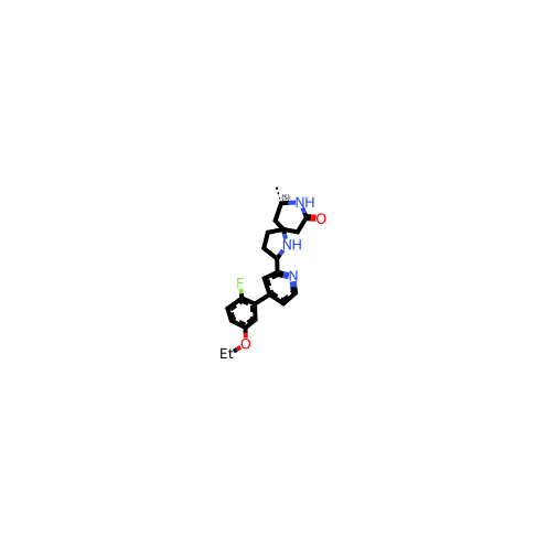 CCOc1ccc(F)c(-c2ccnc(C3CCC4(CC(=O)N[C@@H](C)C4)N3)c2)c1